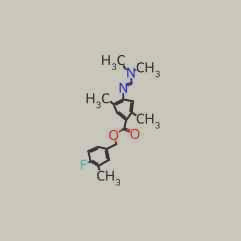 CCN(C)/C=N/c1cc(C)c(C(=O)OCc2ccc(F)c(C)c2)cc1C